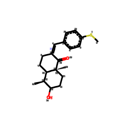 CSc1ccc(/C=C2/CCC3[C@H](C)C(O)CC[C@]3(C)C2=O)cc1